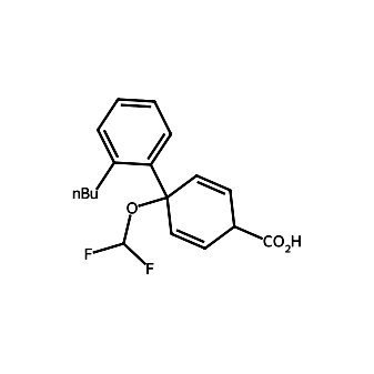 CCCCc1ccccc1C1(OC(F)F)C=CC(C(=O)O)C=C1